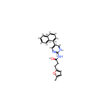 Cc1ccc(CCC(=O)Nc2ncc(-c3cccc4ccccc34)cn2)o1